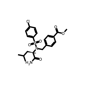 COC(=O)c1ccc(CN([C@H](CC(C)C)C(N)=O)S(=O)(=O)c2ccc(Cl)cc2)cc1